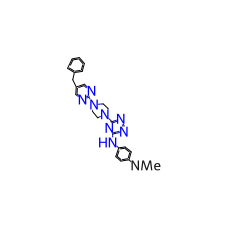 CNc1ccc(Nc2ncnc(N3CCN(c4ncc(Cc5ccccc5)cn4)CC3)n2)cc1